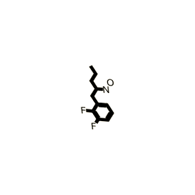 CCCC(Cc1cccc(F)c1F)N=O